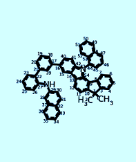 CC1(C)c2ccccc2-c2c1ccc1c3cc(-c4cccc(-c5ccccc5Nc5ccc6ccccc6c5)c4)ccc3n(-c3cccc4ccccc34)c21